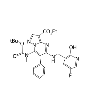 CCOC(=O)c1cnn2c(N(C)C(=O)OC(C)(C)C)c(-c3ccccc3)c(NCc3cc(F)cnc3O)nc12